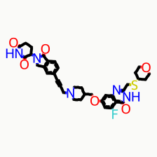 O=C1CCC(N2Cc3cc(C#CCN4CCC(COc5cc(F)c6c(=O)[nH]c(CSC7CCOCC7)nc6c5)CC4)ccc3C2=O)C(=O)N1